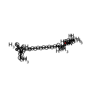 CNC(=O)CCC(=O)O[C@@H]1C[C@@H](COC(c2ccccc2)(c2ccc(OC)cc2)c2ccc(OC)cc2)N(C(=O)CCOCCOCCOCCOCCOCCOCCOCCOCCOCCOCCOCCOCCNC(=O)CC[C@H](NC(=O)c2ccc(N(Cc3cnc4nc(NC(=O)C(C)C)[nH]c(=O)c4n3)C(=O)C(F)(F)F)cc2)C(=O)OC)C1